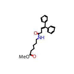 COC(=O)CCCCCNC(=O)CC=C(c1ccccc1)c1ccccc1